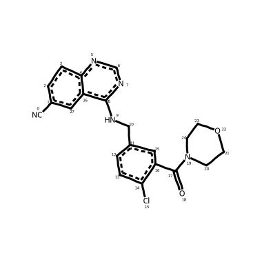 N#Cc1ccc2ncnc(NCc3ccc(Cl)c(C(=O)N4CCOCC4)c3)c2c1